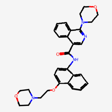 O=C(Nc1ccc(OCCN2CCOCC2)c2ccccc12)c1cnc(N2CCOCC2)c2ccccc12